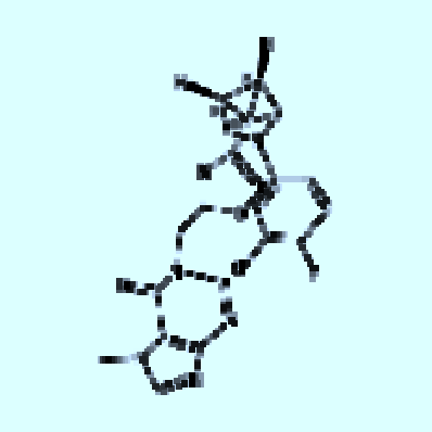 Cn1cnc2ncn(Cc3nc([C@@]45C6[C@H]4[C@H]5CN6c4ccc(F)c(Cl)c4)no3)c(=O)c21